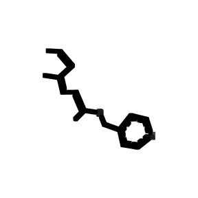 C\C=C/C(C)=C\C=C(/C)OCc1ccncc1